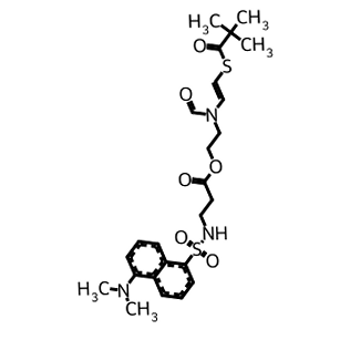 CN(C)c1cccc2c(S(=O)(=O)NCCC(=O)OCCN(C=O)C=CSC(=O)C(C)(C)C)cccc12